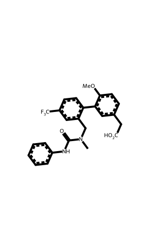 COc1ccc(CC(=O)O)cc1-c1ccc(C(F)(F)F)cc1CN(C)C(=O)Nc1ccccc1